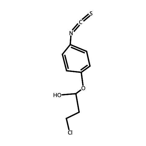 OC(CCCl)Oc1ccc(N=C=S)cc1